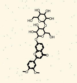 COc1ccc(-c2cc(=O)c3ccc(OC4OC(CO)C(OC5OC(CO)C(O)C(O)C5O)C(O)C4O)cc3o2)cc1OC